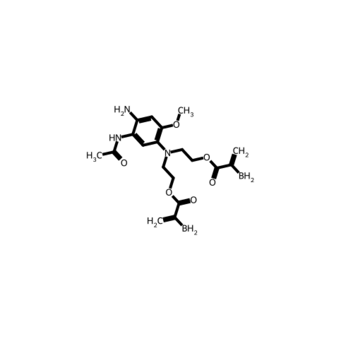 BC(=C)C(=O)OCCN(CCOC(=O)C(B)=C)c1cc(NC(C)=O)c(N)cc1OC